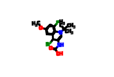 COc1cc(F)c2c(c1)C(Br)C(NC(=O)O)=CN2C(C)(C)C